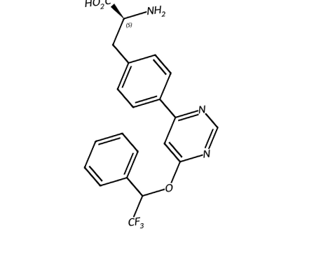 N[C@@H](Cc1ccc(-c2cc(OC(c3ccccc3)C(F)(F)F)ncn2)cc1)C(=O)O